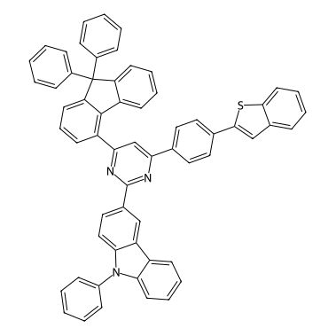 c1ccc(-n2c3ccccc3c3cc(-c4nc(-c5ccc(-c6cc7ccccc7s6)cc5)cc(-c5cccc6c5-c5ccccc5C6(c5ccccc5)c5ccccc5)n4)ccc32)cc1